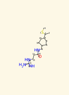 CSC(C)C1CCC(CNC(=O)CCNC(=N)N)CC1